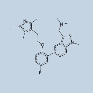 Cc1nn(C)c(C)c1CCOc1ccc(F)cc1-c1ccc2c(c1)c(CN(C)C)nn2C